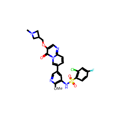 COc1ncc(-c2ccc3ncc(OCC4CN(C)C4)c(=O)n3c2)cc1NS(=O)(=O)c1ccc(F)cc1Cl